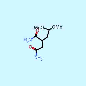 COC(CC(CC(N)=O)C(N)=O)OC